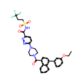 CCOc1cccc(-c2ccc(C(=O)N3CCN(c4ccc(C(=O)NS(=O)(=O)CCC(F)(F)F)nn4)CC3)c3ccccc23)c1